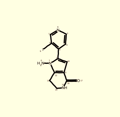 Nn1c(-c2ccncc2I)cc2c1CCNC2=O